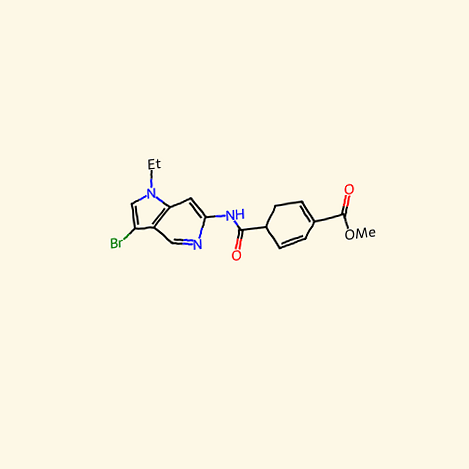 CCn1cc(Br)c2cnc(NC(=O)C3C=CC(C(=O)OC)=CC3)cc21